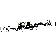 C=CC(=O)OCCCCOc1ccc(C(=O)OC2(C)C=C(C)C(C)(OC(=O)c3ccc(OCCCCOC(=O)C=C)cc3)C3=C2CC3)cc1